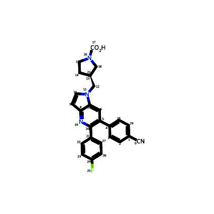 N#Cc1ccc(-c2cc3c(ccn3C[C@H]3CCN(C(=O)O)C3)nc2-c2ccc(F)cc2)cc1